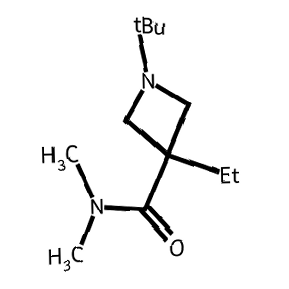 CCC1(C(=O)N(C)C)CN(C(C)(C)C)C1